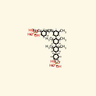 Cc1cccc(C)c1.Cc1cccc(C)c1.Cc1cccc(C)c1.Cc1cccc(C)c1.O=P(O)(O)O.O=P(O)(O)O.c1ccccc1